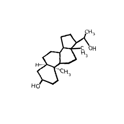 CC(O)C1CCC2C3CC[C@@H]4CC(O)CC[C@]4(C)C3CCC12C